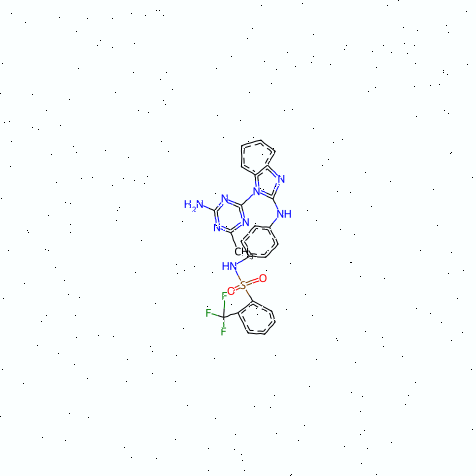 Cc1nc(N)nc(-n2c(Nc3ccc(NS(=O)(=O)c4ccccc4C(F)(F)F)cc3)nc3ccccc32)n1